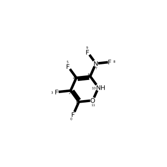 FC1=C(F)C(F)=C(N(F)F)NO1